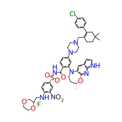 C[C@@H]1CCN(c2cc(N3CCN(CC4=C(c5ccc(Cl)cc5)CC(C)(C)CC4)CC3)ccc2C(=O)NS(=O)(=O)c2ccc(NC[C@]3(F)COCCO3)c([N+](=O)[O-])c2)c2cc3cc[nH]c3nc2O1